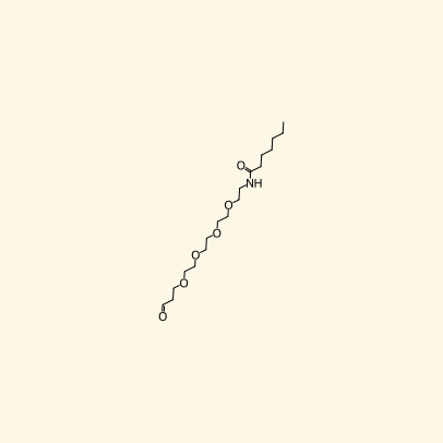 CCCCCCC(=O)NCCOCCOCCOCCOCCC=O